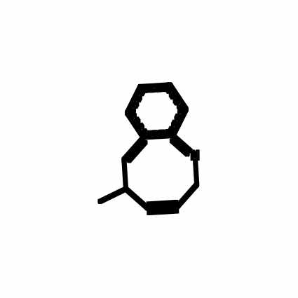 CC1C#CC/N=c2/cccc/c2=C/1